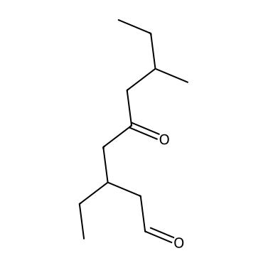 CCC(C)CC(=O)CC(CC)CC=O